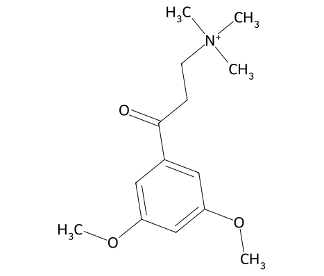 COc1cc(OC)cc(C(=O)CC[N+](C)(C)C)c1